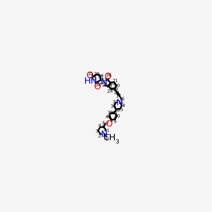 CN1CCCC(COc2ccc(C3CCN(CC#Cc4ccc5c(c4)CN(C4CCC(=O)NC4=O)C5=O)CC3)cc2)C1